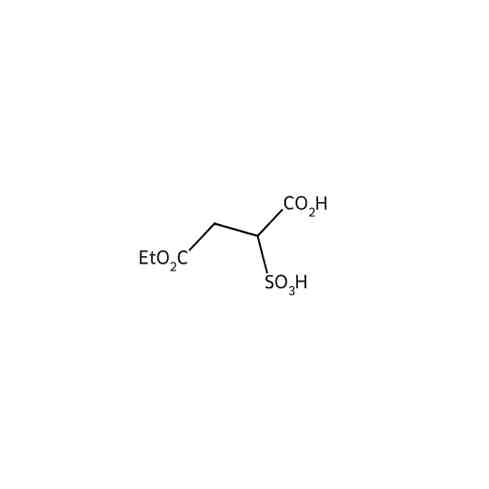 CCOC(=O)CC(C(=O)O)S(=O)(=O)O